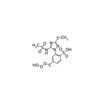 CSc1nc(NS(C)(=O)=O)n(-c2cc(SOOO)ccc2S(=O)(=O)O)n1